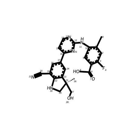 Cc1cc(F)c(C(=O)O)cc1Nc1nccc(-c2cc(C#N)c3c(c2)[C@@](C)(CO)CN3)n1